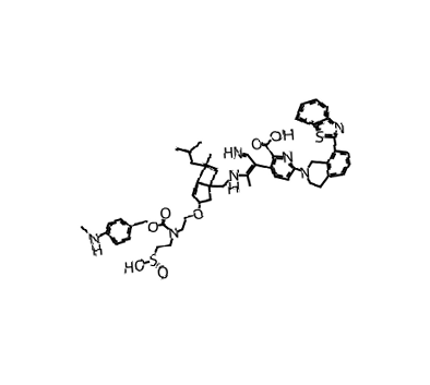 CNc1ccc(COC(=O)N(CCOC2C=C3C(C)(CC(C)C)CC3(CN/C(C)=C(\C=N)c3ccc(N4CCc5cccc(-c6nc7ccccc7s6)c5C4)nc3C(=O)O)C2)CCS(=O)O)cc1